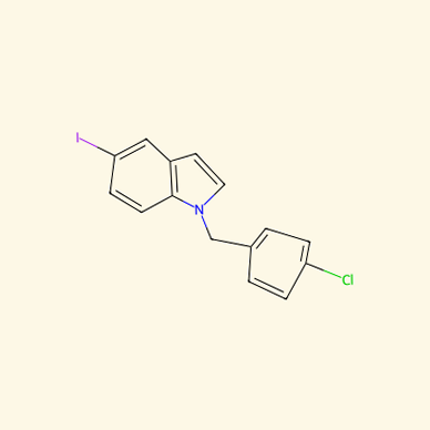 Clc1ccc(Cn2ccc3cc(I)ccc32)cc1